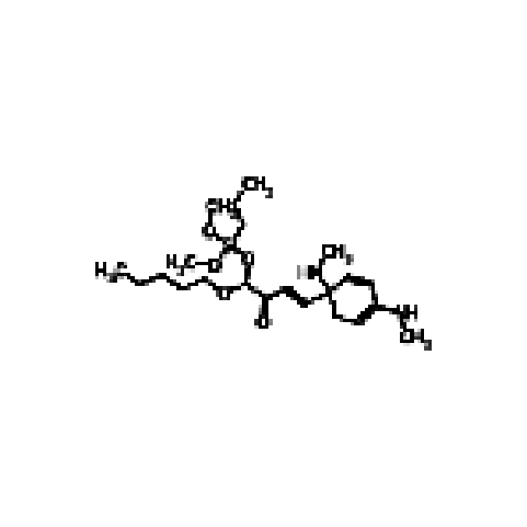 CCCCCOC(O[Si](CCC)(OC)OC)C(=O)C=CC1(NC)C=CC(NC)=CC1